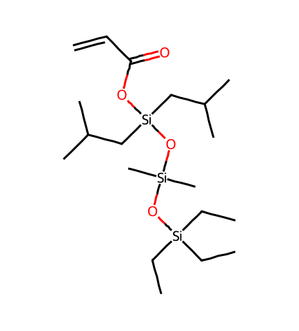 C=CC(=O)O[Si](CC(C)C)(CC(C)C)O[Si](C)(C)O[Si](CC)(CC)CC